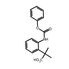 CC(C)(C(=O)O)c1ccccc1NC(=O)Oc1ccccc1